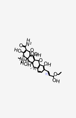 CCOC(O)/C=C/c1ccc2c(c1O)C(=O)C1=C(O)[C@]3(O)C(=O)C(C(N)=O)=C(O)[C@@H](N(C)C)[C@@H]3[C@@H](O)[C@@H]1[C@H]2C